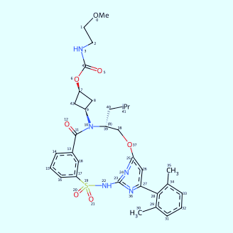 COCCNC(=O)O[C@H]1C[C@@H](N2C(=O)c3cccc(c3)S(=O)(=O)Nc3nc(cc(-c4c(C)cccc4C)n3)OC[C@H]2CC(C)C)C1